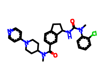 CN(C(=O)NC1CCc2ccc(C(=O)N(C)C3CCN(c4ccncc4)CC3)cc21)c1ccccc1Cl